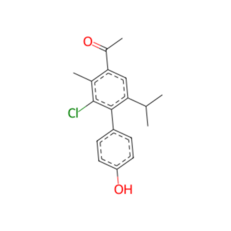 CC(=O)c1cc(C(C)C)c(-c2ccc(O)cc2)c(Cl)c1C